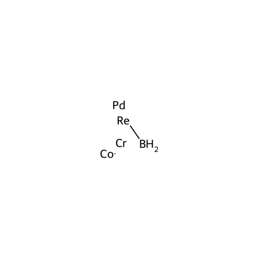 [BH2][Re].[Co].[Cr].[Pd]